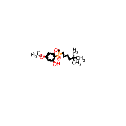 COc1cc(O)c2c(c1)OCP2(=O)CCCCC(C)(C)C